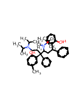 Cc1ccc(O)c(C(CCN(C(C)C)C(C)C)(c2ccccc2)C(CC(c2ccccc2)c2ccccc2O)N(C)C(C)(C)C)c1